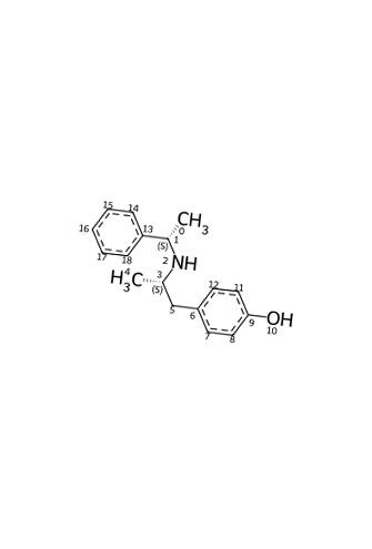 C[C@H](N[C@@H](C)Cc1ccc(O)cc1)c1ccccc1